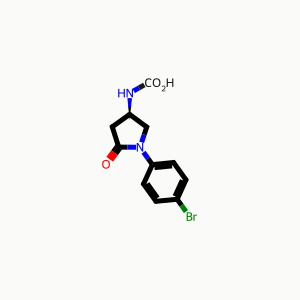 O=C(O)N[C@@H]1CC(=O)N(c2ccc(Br)cc2)C1